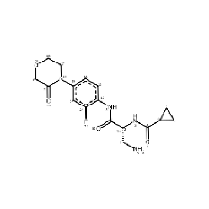 NC[C@@H](NC(=O)C1CC1)C(=O)Nc1ccc(N2CCOCC2=O)cc1F